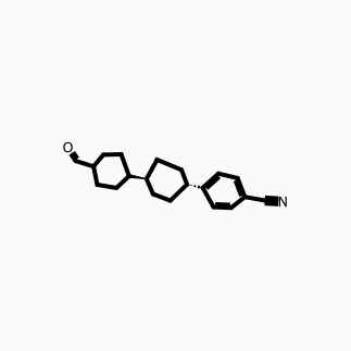 N#Cc1ccc([C@H]2CC[C@H](C3CCC(C=O)CC3)CC2)cc1